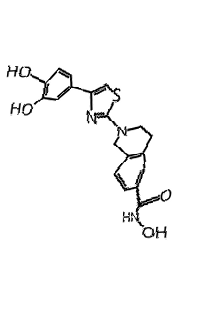 O=C(NO)c1ccc2c(c1)CCN(c1nc(-c3ccc(O)c(O)c3)cs1)C2